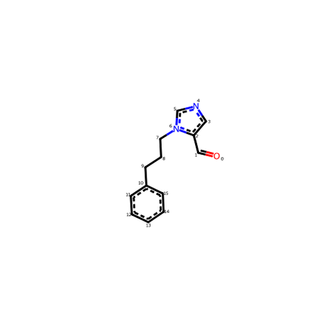 O=Cc1cncn1CCCc1ccccc1